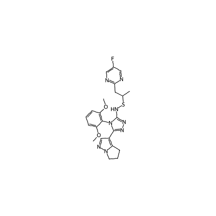 COc1cccc(OC)c1-n1c(NSC(C)Cc2ncc(F)cn2)nnc1-c1cnn2c1CCC2